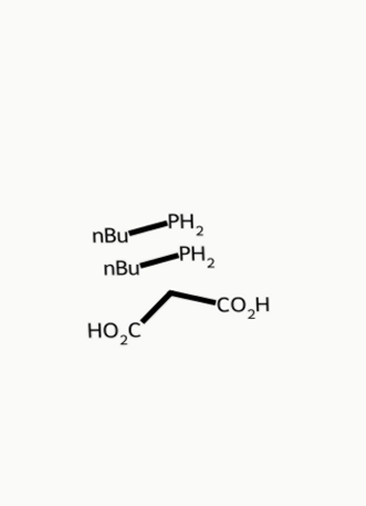 CCCCP.CCCCP.O=C(O)CC(=O)O